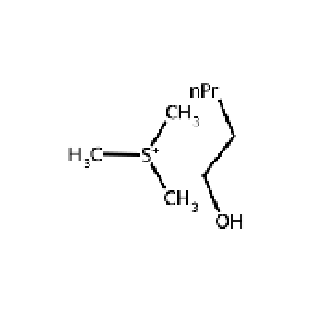 CCCCCO.C[S+](C)C